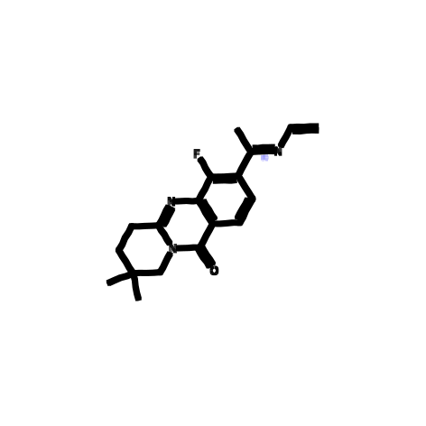 C=C/N=C(\C)c1ccc2c(=O)n3c(nc2c1F)CCC(C)(C)C3